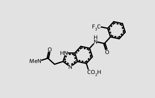 CNC(=O)Cc1nc2c(C(=O)O)cc(NC(=O)c3ccccc3C(F)(F)F)cc2[nH]1